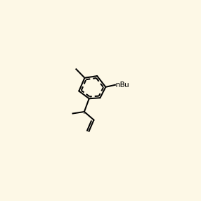 C=C[C](C)c1cc(C)cc(CCCC)c1